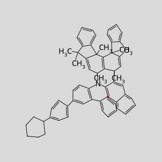 CC1(C)C2=CC3(C)C4=C(C5(C)C(=CC4(C)c4cc6ccccc6cc4N3c3ccc(-c4ccc(C6CCCCC6)cc4)cc3-c3ccccc3)Oc3ccccc35)C2(C)c2ccccc21